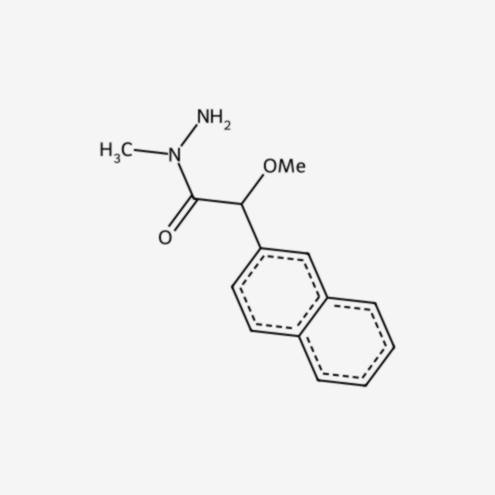 COC(C(=O)N(C)N)c1ccc2ccccc2c1